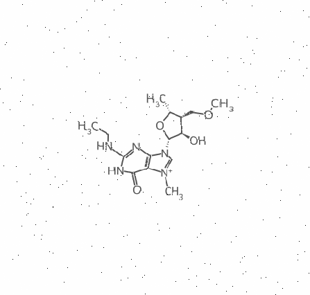 CCNc1nc2c(c(=O)[nH]1)[n+](C)cn2[C@@H]1O[C@H](C)[C@@H](COC)[C@H]1O